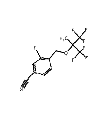 CC(OCc1ccc(C#N)cc1F)(C(F)(F)F)C(F)(F)F